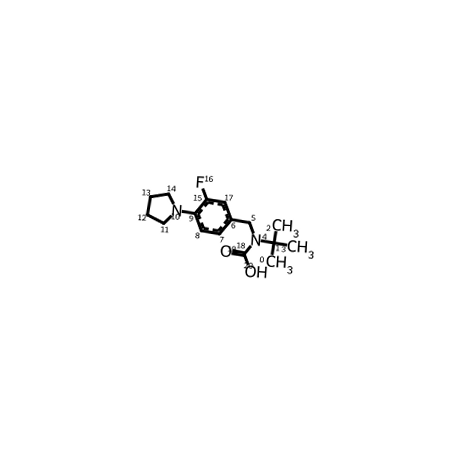 CC(C)(C)N(Cc1ccc(N2CCCC2)c(F)c1)C(=O)O